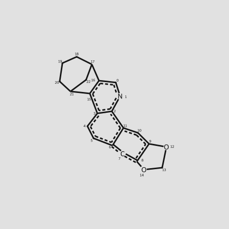 c1nc2c(ccc3cc4c(cc32)OCO4)c2c1C1CCCC2C1